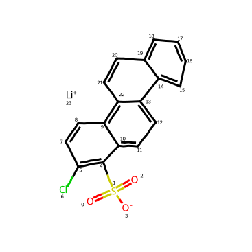 O=S(=O)([O-])c1c(Cl)ccc2c1ccc1c3ccccc3ccc21.[Li+]